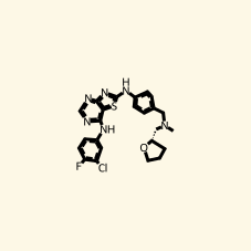 CN(Cc1ccc(Nc2nc3ncnc(Nc4ccc(F)c(Cl)c4)c3s2)cc1)C[C@@H]1CCCO1